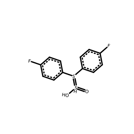 O=[SH](O)=S(c1ccc(F)cc1)c1ccc(F)cc1